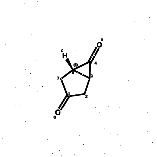 O=C1CC2C(=O)[C@H]2C1